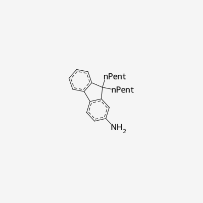 CCCCCC1(CCCCC)c2ccccc2-c2ccc(N)cc21